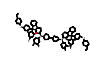 C=Cc1ccc(Oc2ccc(C3(c4c(F)cc(F)cc4F)c4ccccc4-c4ccc(N(c5ccc(-c6ccc(N(c7ccc(C)c(F)c7)c7ccc8c(c7)C(c7ccc(Oc9ccc(C=C)cc9)cc7)(c7c(F)cc(F)cc7F)c7ccccc7-8)cc6)cc5)c5ccc(C)c(F)c5)cc43)cc2)cc1